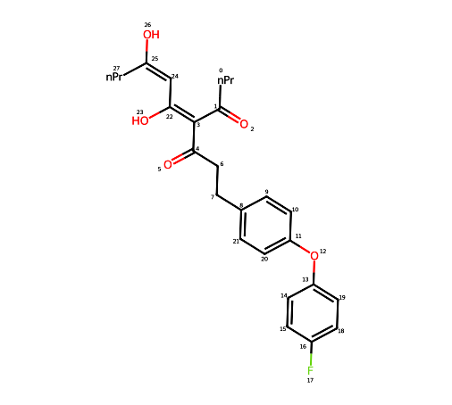 CCCC(=O)/C(C(=O)CCc1ccc(Oc2ccc(F)cc2)cc1)=C(O)\C=C(\O)CCC